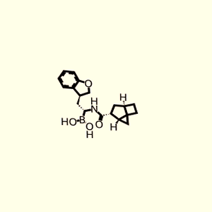 O=C(N[C@@H](C[C@@H]1COc2ccccc21)B(O)O)[C@@H]1C[C@H]2CCC23C[C@H]13